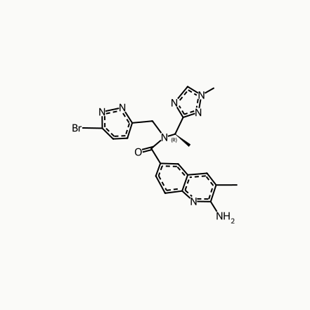 Cc1cc2cc(C(=O)N(Cc3ccc(Br)nn3)[C@H](C)c3ncn(C)n3)ccc2nc1N